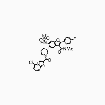 CCS(=O)(=O)Nc1cc2oc(-c3ccc(F)cc3)c(C(=O)NC)c2cc1[C@H]1CCCN(C(=O)c2cn3c(Cl)cccc3n2)C1